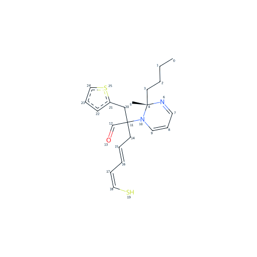 CCCC[C@]1(C)N=CC=CN1C(C=O)(C/C=C/C=C\S)Cc1cccs1